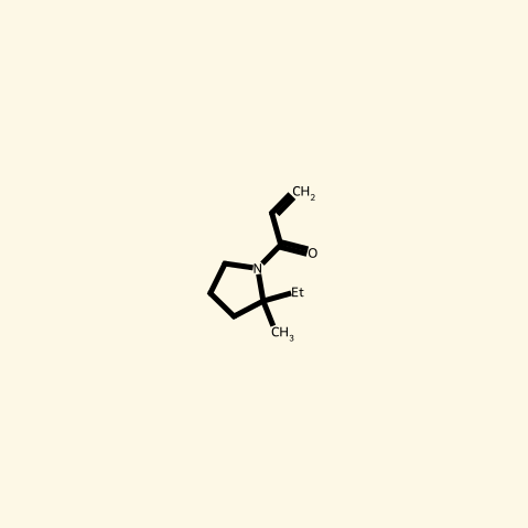 C=CC(=O)N1CCCC1(C)CC